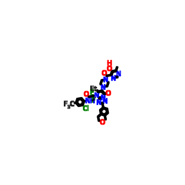 CCc1c(N2CCN(C(=O)c3ncnc(C)c3O)CC2)c(=O)n2nc(-c3ccc4c(c3)CCOC4)nc2n1C(F)(F)C(=O)Nc1ccc(C(F)(F)F)cc1Cl